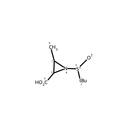 CC1C(C(=O)O)N1[S+]([O-])C(C)(C)C